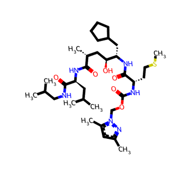 CSCC[C@H](NC(=O)OCn1nc(C)cc1C)C(=O)N[C@@H](CC1CCCC1)[C@@H](O)C[C@@H](C)C(=O)N[C@@H](CC(C)C)C(=O)NCC(C)C